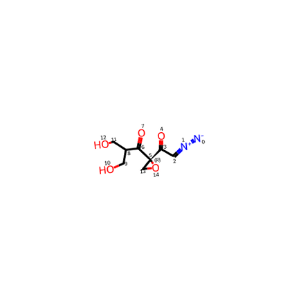 [N-]=[N+]=CC(=O)[C@]1(C(=O)C(CO)CO)CO1